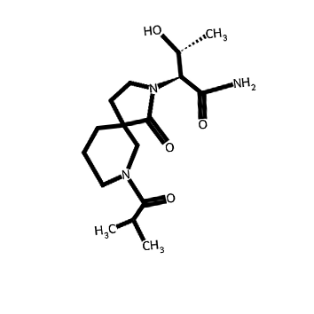 CC(C)C(=O)N1CCCC2(CCN([C@H](C(N)=O)[C@@H](C)O)C2=O)C1